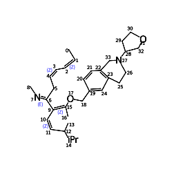 C/C=C\C=C/CC(=N\C)/C(/C=C\C(C)C(C)C)=C(/C)OCc1ccc2c(c1)CCN(C1CCOC1)C2